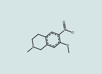 COc1cc2c(cc1[N+](=O)[O-])CCN(C)C2